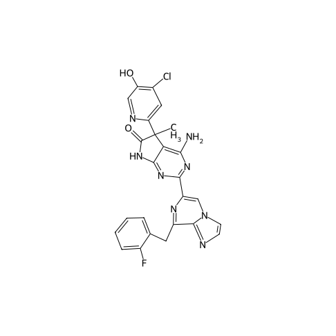 CC1(c2cc(Cl)c(O)cn2)C(=O)Nc2nc(-c3cn4ccnc4c(Cc4ccccc4F)n3)nc(N)c21